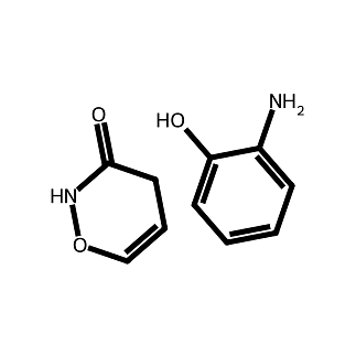 Nc1ccccc1O.O=C1CC=CON1